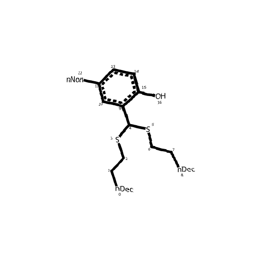 CCCCCCCCCCCCSC(SCCCCCCCCCCCC)c1cc(CCCCCCCCC)ccc1O